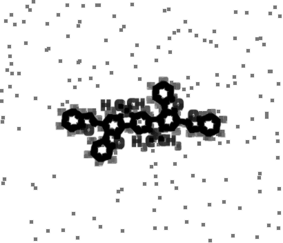 C[Si]1(C)c2cc3c(cc2-c2c1cc(-c1cc4ccccc4o1)c1c2oc2ccccc21)[Si](C)(C)c1cc(-c2cc4ccccc4o2)c2oc4ccccc4c2c1-3